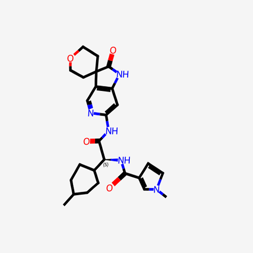 CC1CCC([C@H](NC(=O)c2ccn(C)c2)C(=O)Nc2cc3c(cn2)C2(CCOCC2)C(=O)N3)CC1